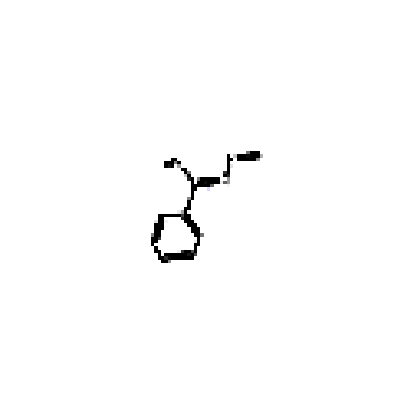 C=N/N=C(\CCC)c1ccccc1